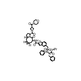 CC(C)OC(=O)[C@H](Cc1ccccc1)NP(=O)(Cc1ccc2sc(C(=O)N[C@H]3C[C@@H]4C[C@@H]4C[C@H]4CC[C@@H](C(=O)N5CC(C(=O)N6CCOCC6)C5)N4C3=O)cc2c1)Oc1ccccc1